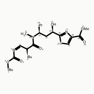 CC[C@H](C)C(/C=N\C(=O)OC(C)(C)C)C(=O)N(C)[C@H](C[C@@H](O)c1nc(C(=O)OC)cs1)C(C)C